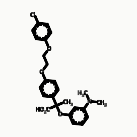 CN(C)c1cccc(OC(C)(C(=O)O)c2ccc(OCCOc3ccc(Cl)cc3)cc2)c1